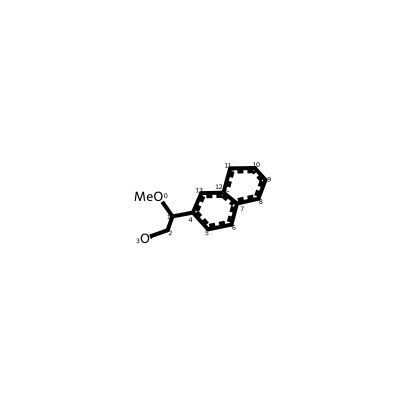 COC(C[O])c1ccc2ccccc2c1